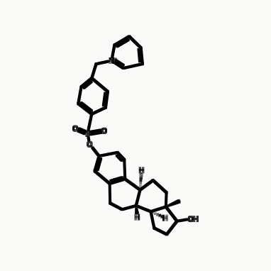 C[C@]12CC[C@@H]3c4ccc(OS(=O)(=O)c5ccc(C[n+]6ccccc6)cc5)cc4CC[C@H]3[C@@H]1CCC2O